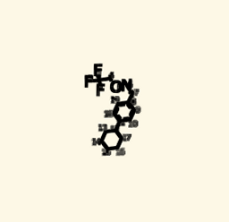 FC(F)(F)CO/N=[C]\c1ccc(C2CCCCC2)cc1